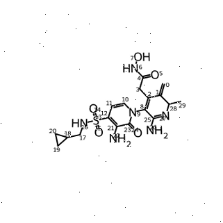 C=C1C(CC(=O)NO)=C(n2ccc(S(=O)(=O)NCC3CC3)c(N)c2=O)C(N)=NC1C